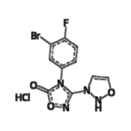 Cl.O=c1onc(N2C=CON2)n1-c1ccc(F)c(Br)c1